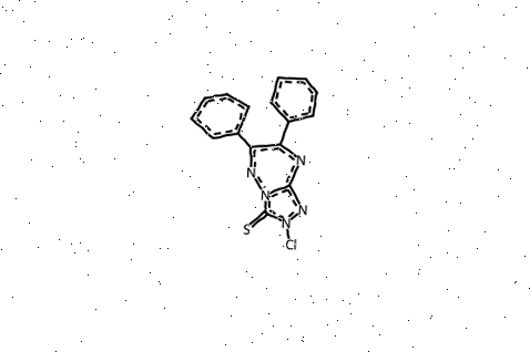 S=c1n(Cl)nc2nc(-c3ccccc3)c(-c3ccccc3)nn12